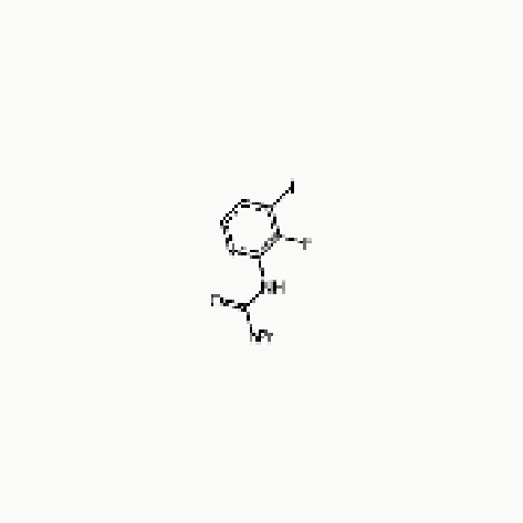 CCCC(=O)Nc1nccc(I)c1F